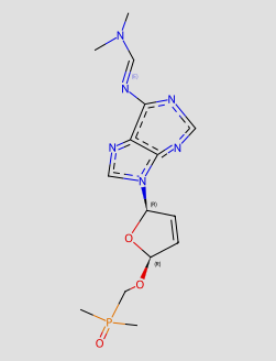 CN(C)/C=N/c1ncnc2c1ncn2[C@H]1C=C[C@@H](OCP(C)(C)=O)O1